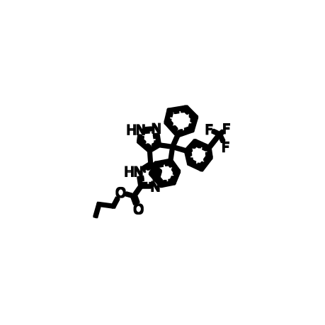 CCCOC(=O)c1ncc(-c2c[nH]nc2C(c2ccccc2)(c2ccccc2)c2cccc(C(F)(F)F)c2)[nH]1